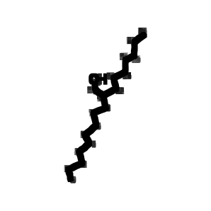 CCCCCCCCCC([CH]O)CCCCCCC